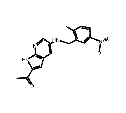 CC(=O)c1cc2cc(NCc3cc([N+](=O)[O-])ccc3C)cnc2[nH]1